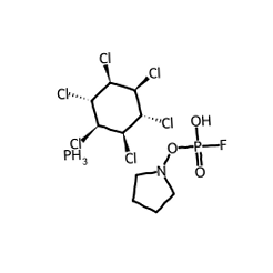 Cl[C@H]1[C@H](Cl)[C@@H](Cl)[C@@H](Cl)[C@H](Cl)[C@H]1Cl.O=P(O)(F)ON1CCCC1.P